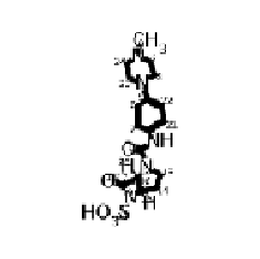 CN1CCN(c2ccc(NC(=O)N3CC[C@@H]4[C@H]3C(=O)N4S(=O)(=O)O)cc2)CC1